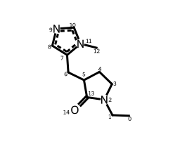 CCN1CCC(Cc2cncn2C)C1=O